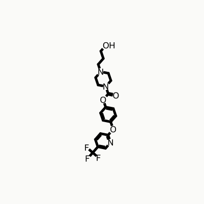 O=C(Oc1ccc(Oc2ccc(C(F)(F)F)cn2)cc1)N1CCN(CCCO)CC1